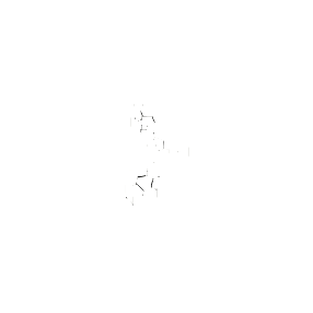 O=c1ccn([C@@H]2CC(O)[C@H](COc3c(F)c(F)c([N+](=O)[O-])c(F)c3F)O2)c(=O)[nH]1